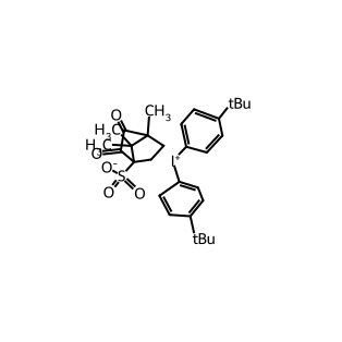 CC(C)(C)c1ccc([I+]c2ccc(C(C)(C)C)cc2)cc1.CC12CCC(S(=O)(=O)[O-])(C(=O)C1=O)C2(C)C